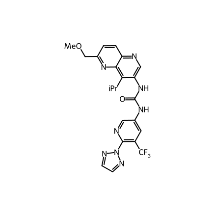 COCc1ccc2ncc(NC(=O)Nc3cnc(-n4nccn4)c(C(F)(F)F)c3)c(C(C)C)c2n1